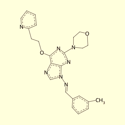 Cc1cccc(C=Nn2cnc3c(OCCc4ccccn4)nc(N4CCOCC4)nc32)c1